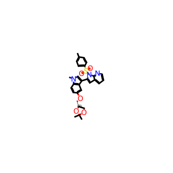 Cc1ccc(S(=O)(=O)n2c(-c3cn(C)c4ccc(OC[C@@H]5COC(C)(C)O5)cc34)cc3cccnc32)cc1